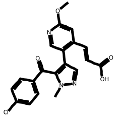 COc1cc(C=CC(=O)O)c(-c2cnn(C)c2C(=O)c2ccc(Cl)cc2)cn1